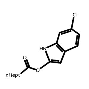 CCCCCCCC(=O)Oc1cc2ccc(Cl)cc2[nH]1